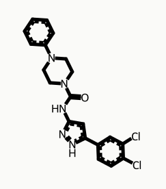 O=C(Nc1cc(-c2ccc(Cl)c(Cl)c2)[nH]n1)N1CCN(c2ccccc2)CC1